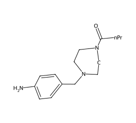 CCCC(=O)N1CCN(Cc2ccc(N)cc2)CC1